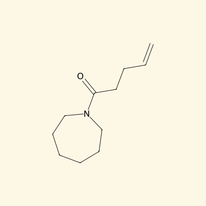 C=CCCC(=O)N1CCCCCC1